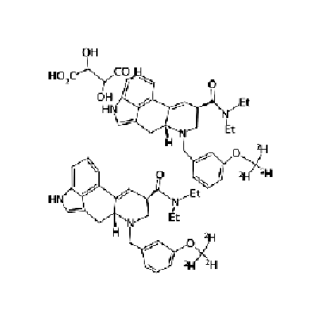 O=C(O)C(O)C(O)C(=O)O.[2H]C([2H])([2H])Oc1cccc(CN2C[C@H](C(=O)N(CC)CC)C=C3c4cccc5[nH]cc(c45)C[C@H]32)c1.[2H]C([2H])([2H])Oc1cccc(CN2C[C@H](C(=O)N(CC)CC)C=C3c4cccc5[nH]cc(c45)C[C@H]32)c1